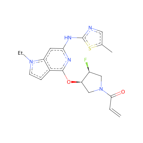 C=CC(=O)N1C[C@H](F)[C@H](Oc2nc(Nc3ncc(C)s3)cc3c2ccn3CC)C1